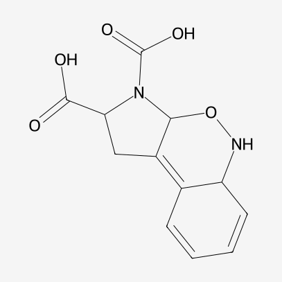 O=C(O)C1CC2=C3C=CC=CC3NOC2N1C(=O)O